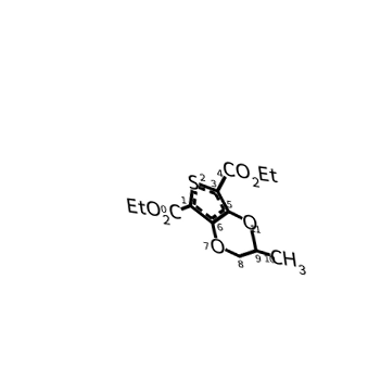 CCOC(=O)c1sc(C(=O)OCC)c2c1OCC(C)O2